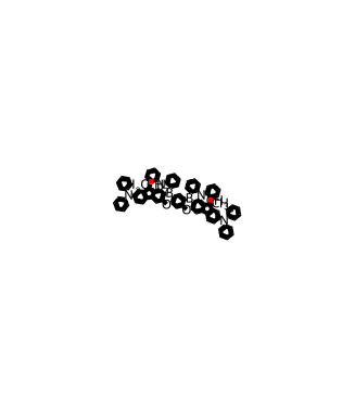 CC1(C)c2cc(N(c3ccccc3)c3ccccc3)ccc2-c2cc3c4c(c21)N(c1ccccc1)c1ccccc1B4c1cc2c(cc1O3)Oc1cc3c(c4c1B2c1ccccc1N4c1ccccc1)C(C)(C)c1cc(N(c2ccccc2)c2ccccc2)ccc1-3